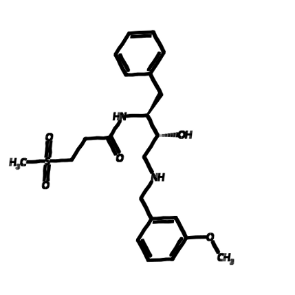 COc1cccc(CNC[C@@H](O)[C@H](Cc2ccccc2)NC(=O)CCS(C)(=O)=O)c1